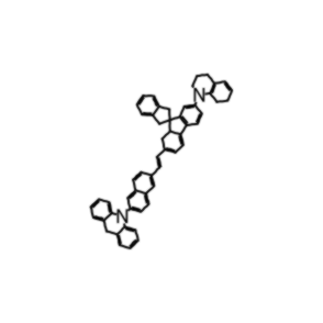 C1=CC2=C(CC1)N(c1ccc3c(c1)C1(Cc4ccccc4C1)C1CC(/C=C/c4ccc5cc(N6c7ccccc7Cc7ccccc76)ccc5c4)=CC=C31)CCC2